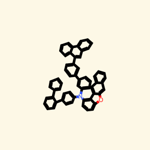 c1ccc(-c2ccccc2-c2ccc(N(c3cccc(-c4cccc(-c5cc6ccccc6c6ccccc56)c4)c3)c3cccc4oc5cc6ccccc6cc5c34)cc2)cc1